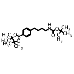 CC(C)(C)OC(=O)NCCCCc1ccc(B2OC(C)(C)C(C)(C)O2)cc1